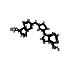 Cn1cnc2cc(CC3CCC(n4ccc5c(N)ncnc54)C3)ccc21